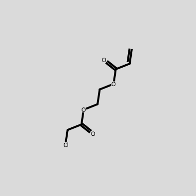 C=CC(=O)OCCOC(=O)CCl